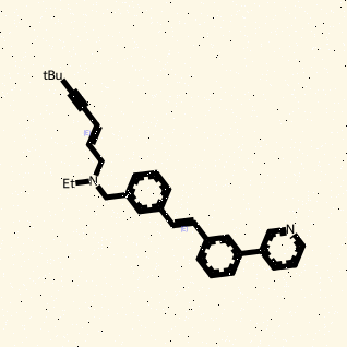 CCN(C/C=C/C#CC(C)(C)C)Cc1cccc(/C=C/c2cccc(-c3cccnc3)c2)c1